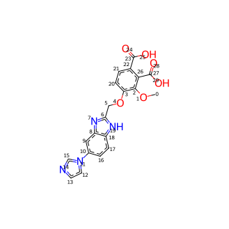 COc1c(OCc2nc3cc(-n4ccnc4)ccc3[nH]2)ccc(C(=O)O)c1C(=O)O